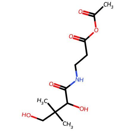 CC(=O)OC(=O)CCNC(=O)C(O)C(C)(C)CO